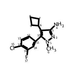 Cn1nc(N)c(C2CCC2)c1-c1ccc(Cl)c(F)c1